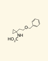 O=C(O)NC1(CCOCc2ccccc2)CC1